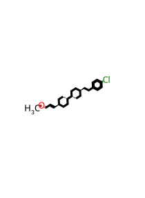 COCC=C[C@H]1CC[C@H]([C@H]2CC[C@H](CCc3ccc(Cl)cc3)CC2)CC1